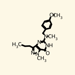 CCCc1nn(C)c2c(=O)[nH]c(N(C)Cc3ccc(OC)cc3)nc12